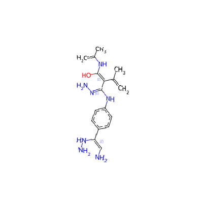 C=C(C)N/C(O)=C(C(=C)C)/C(=N\N)Nc1ccc(/C(=C/N)NN)cc1